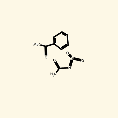 COC(=O)c1ccccc1.NC(=O)N=S(=O)=O